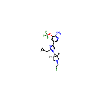 Nc1ncc(-c2cn([C@@H]3[C@@H]4CN(CCF)C[C@@H]43)c(CC3CC3)n2)cc1OC(F)(F)F